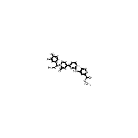 COC(=O)c1cc(Nc2nccc(-c3ccn(C(CO)c4ccc(Cl)c(F)c4)c(=O)c3)n2)ccn1